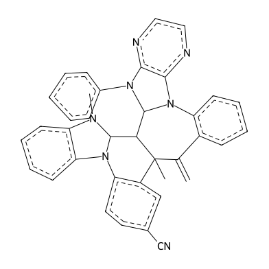 C=C1c2ccccc2N2c3nccnc3N(c3ccccc3)C2C2C3N(C)c4ccccc4N3c3ccc(C#N)cc3C12C